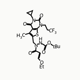 CCO/C=C/C(=O)N(Cc1sc2c(c1C)c(=O)n(C1CC1)c(=O)n2CCC(F)(F)F)NC(=O)OC(C)(C)C